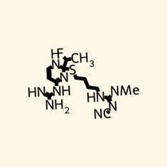 CN/C(=N/C#N)NCCCCSC1(C(C)F)N=C(NC(=N)N)C=CN1